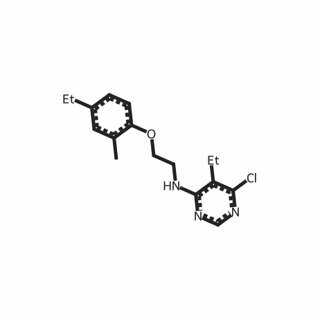 CCc1ccc(OCCNc2ncnc(Cl)c2CC)c(C)c1